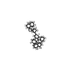 c1ccc(C2(c3ccc(-c4ccc5c(c4)Oc4cccc6cccc-5c46)cc3)c3ccccc3-c3ccc4ccccc4c32)cc1